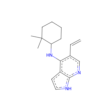 C=Cc1cnc2[nH]ccc2c1NC1CCCCC1(C)C